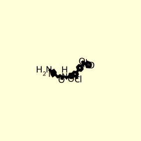 C[C@H]1COCCN1C(=O)c1ccc(-c2cc(Cl)c3oc(CNC(=O)/C=C/c4ccc(N)nc4)cc3c2)cc1